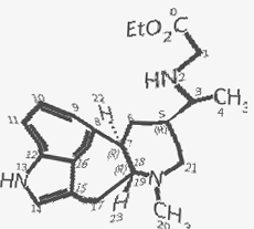 CCOC(=O)CNC(C)[C@@H]1C[C@@H]2c3cccc4[nH]cc(c34)C[C@H]2N(C)C1